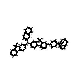 CC1(C)c2ccccc2-c2ccc(N(c3ccc4c(c3)C(C)(C)c3cc(-c5ccc(C67CC8CC(CC(C8)C6)C7)cc5)ccc3-4)c3ccc4ccccc4c3)cc21